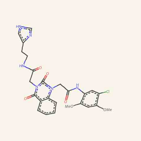 COc1cc(OC)c(NC(=O)Cn2c(=O)n(CC(=O)NCCc3c[nH]cn3)c(=O)c3ccccc32)cc1Cl